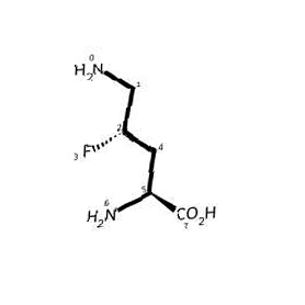 NC[C@@H](F)C[C@H](N)C(=O)O